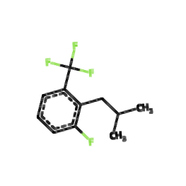 CC(C)Cc1c(F)cccc1C(F)(F)F